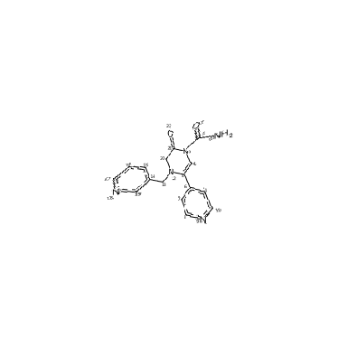 NC(=O)N1C=C(c2ccncc2)N(Cc2cccnc2)CC1=O